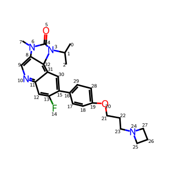 CC(C)n1c(=O)n(C)c2cnc3cc(F)c(-c4ccc(OCCCN5CCC5)cc4)cc3c21